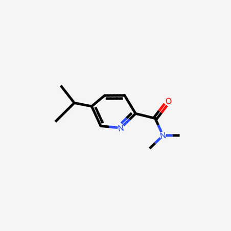 CC(C)c1ccc(C(=O)N(C)C)nc1